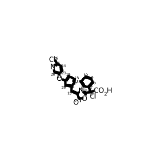 O=C1OC(C(Cl)(C(=O)O)c2ccccc2)=NC1=Cc1cccc(Oc2ccc(Cl)nc2)c1